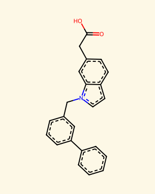 O=C(O)Cc1ccc2ccn(Cc3cccc(-c4ccccc4)c3)c2c1